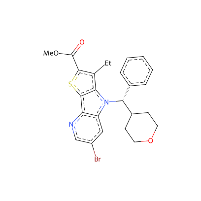 CCc1c(C(=O)OC)sc2c3ncc(Br)cc3n([C@H](c3ccccc3)C3CCOCC3)c12